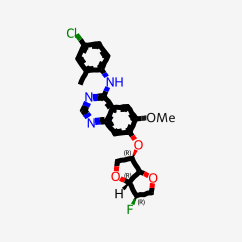 COc1cc2c(Nc3ccc(Cl)cc3C)ncnc2cc1O[C@@H]1CO[C@@H]2C1OC[C@H]2F